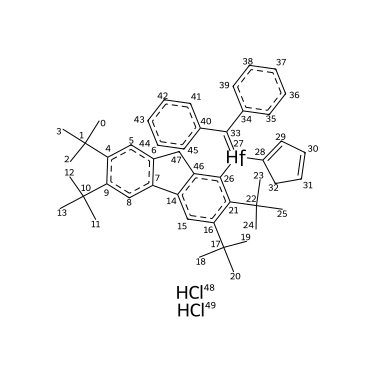 CC(C)(C)c1cc2c(cc1C(C)(C)C)-c1cc(C(C)(C)C)c(C(C)(C)C)[c]([Hf]([C]3=CC=CC3)=[C](c3ccccc3)c3ccccc3)c1C2.Cl.Cl